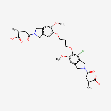 COc1cc2c(cc1OCCCOc1c(OC)cc3c(c1Br)CN(C(=O)CC(C)C(=O)O)C3)CN(C(=O)CC(C)C(=O)O)C2